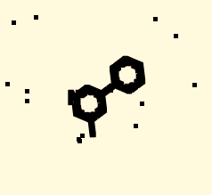 Cc1cncc(-c2ccccc2)c1